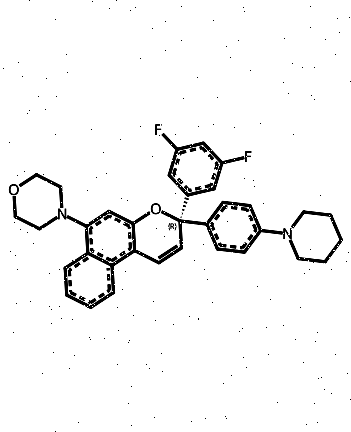 Fc1cc(F)cc([C@]2(c3ccc(N4CCCCC4)cc3)C=Cc3c(cc(N4CCOCC4)c4ccccc34)O2)c1